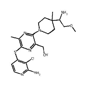 COCC(N)C1(C)CCN(c2nc(C)c(Sc3ccnc(N)c3Cl)nc2CO)CC1